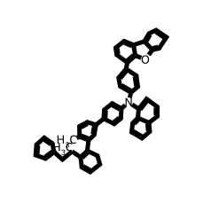 Cc1ccc(-c2ccc(N(c3ccc(-c4cccc5c4oc4ccccc45)cc3)c3cccc4ccccc34)cc2)cc1C1=C(C(C)Cc2ccccc2)C=CCC1